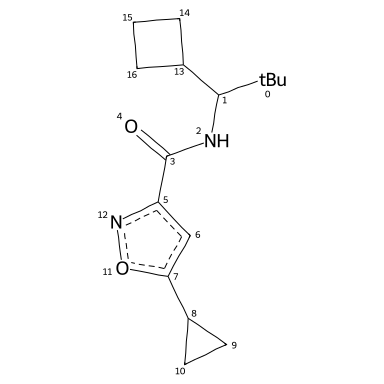 CC(C)(C)C(NC(=O)c1cc(C2CC2)on1)C1CCC1